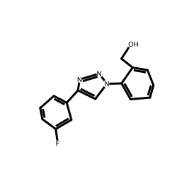 OCc1ccccc1-n1cc(-c2cccc(F)c2)nn1